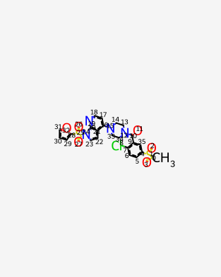 CS(=O)(=O)c1ccc(Cl)c(C(=O)N2CCN(c3ccnc4c3ccn4S(=O)(=O)c3ccco3)CC2)c1